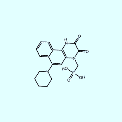 O=c1[nH]c2c3ccccc3c(N3CCCCC3)cc2n(CP(=O)(O)O)c1=O